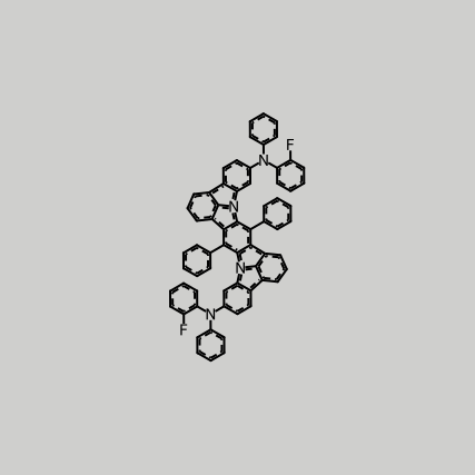 Fc1ccccc1N(c1ccccc1)c1ccc2c3cccc4c5c(-c6ccccc6)c6c(c(-c7ccccc7)c5n(c2c1)c34)c1cccc2c3ccc(N(c4ccccc4)c4ccccc4F)cc3n6c21